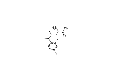 Cc1ccc(C(C)C(C)CC(N)C(=O)O)c(C)c1